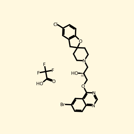 O=C(O)C(F)(F)F.O[C@H](COc1ncnc2ccc(Br)cc12)CN1CCC2(CC1)Cc1cc(Cl)ccc1O2